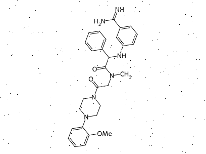 COc1ccccc1N1CCN(C(=O)CN(C)C(=O)C(Nc2cccc(C(=N)N)c2)c2ccccc2)CC1